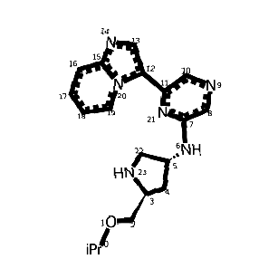 CC(C)OC[C@@H]1C[C@@H](Nc2cncc(-c3cnc4ccccn34)n2)CN1